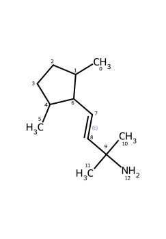 CC1CCC(C)C1/C=C/C(C)(C)N